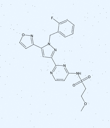 COCCS(=O)(=O)Nc1ccnc(-c2cc(-c3ccon3)n(Cc3ccccc3F)n2)n1